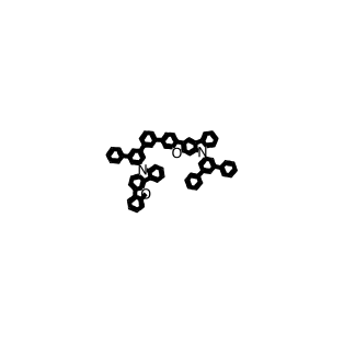 c1ccc(-c2cc(-c3ccccc3)cc(-n3c4ccccc4c4cc5c(cc43)oc3cc(-c4cccc(-c6cc(-c7ccccc7)cc(-n7c8ccccc8c8c9oc%10ccccc%10c9ccc87)c6)c4)ccc35)c2)cc1